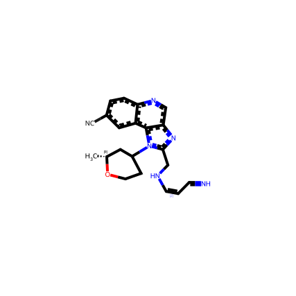 C[C@@H]1CC(n2c(CN/C=C\C=N)nc3cnc4ccc(C#N)cc4c32)CCO1